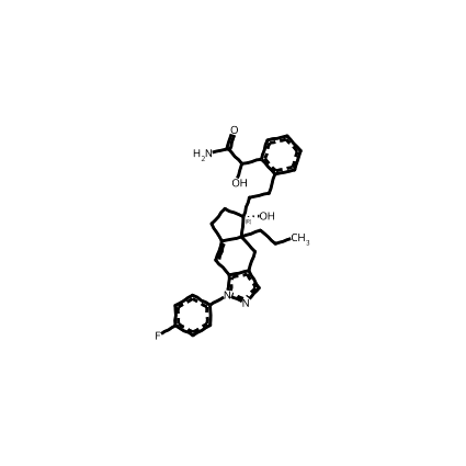 CCCC12Cc3cnn(-c4ccc(F)cc4)c3C=C1CC[C@@]2(O)CCc1ccccc1C(O)C(N)=O